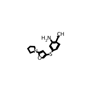 C#Cc1ccc(Sc2coc(N3CCCC3)c2)cc1N